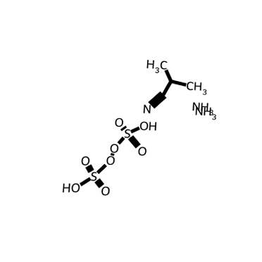 CC(C)C#N.N.N.O=S(=O)(O)OOS(=O)(=O)O